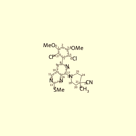 COc1cc(OC)c(Cl)c(-c2cc3cnc(SC)nc3c(N3CCC(C)(C#N)CC3)n2)c1Cl